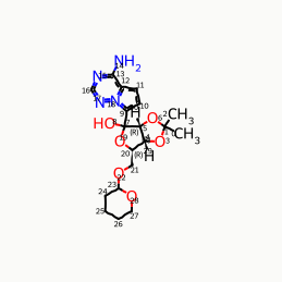 CC1(C)O[C@H]2[C@@H](O1)C(O)(c1ccc3c(N)ncnn13)O[C@@H]2COC1CCCCO1